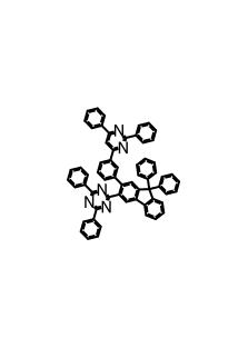 c1ccc(-c2cc(-c3cccc(-c4cc5c(cc4-c4nc(-c6ccccc6)nc(-c6ccccc6)n4)-c4ccccc4C5(c4ccccc4)c4ccccc4)c3)nc(-c3ccccc3)n2)cc1